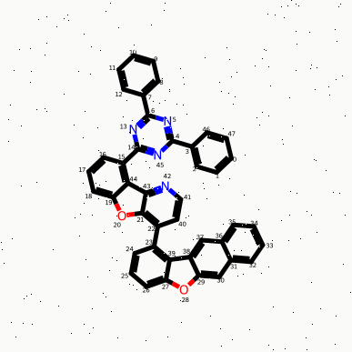 c1ccc(-c2nc(-c3ccccc3)nc(-c3cccc4oc5c(-c6cccc7oc8cc9ccccc9cc8c67)ccnc5c34)n2)cc1